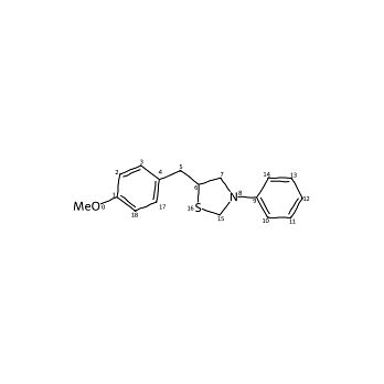 COc1ccc(CC2CN(c3ccccc3)CS2)cc1